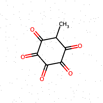 CC1C(=O)C(=O)C(=O)C(=O)C1=O